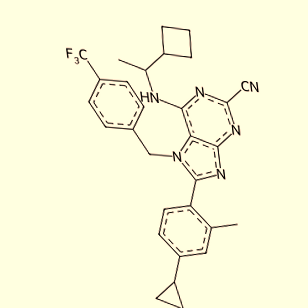 Cc1cc(C2CC2)ccc1-c1nc2nc(C#N)nc(NC(C)C3CCC3)c2n1Cc1ccc(C(F)(F)F)cc1